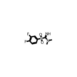 CN(C)C(=N)S(=O)(=O)c1ccc(F)c(F)c1